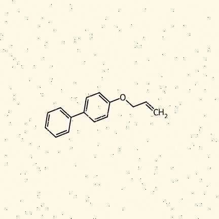 C=CCOc1ccc(-c2ccccc2)cc1